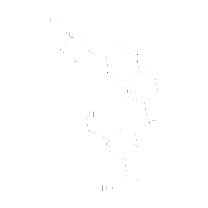 CCc1cc(Nc2ccc3ncc(-c4cnn(C)c4)nc3c2)cc(OC)c1